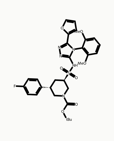 COc1cccc(OC)c1-n1c(NS(=O)(=O)[C@@H]2C[C@@H](c3ccc(F)cc3)CN(C(=O)OC(C)(C)C)C2)nnc1-c1ccco1